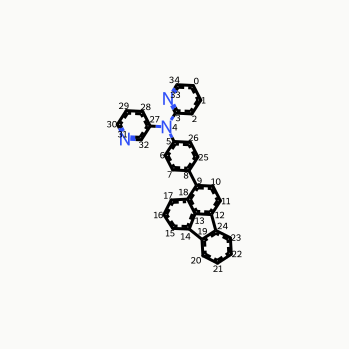 c1ccc(N(c2ccc(-c3ccc4c5c(cccc35)-c3ccccc3-4)cc2)c2cccnc2)nc1